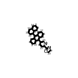 c1ccc2c(-c3c4ccccc4c(-c4ccc(C5=NCCO5)nc4)c4ccccc34)cccc2c1